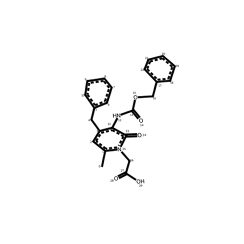 Cc1cc(Cc2ccccc2)c(NC(=O)OCc2ccccc2)c(=O)n1CC(=O)O